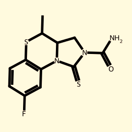 CC1Sc2ccc(F)cc2N2C(=S)N(C(N)=O)CC12